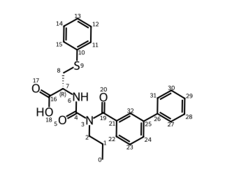 CCCN(C(=O)N[C@@H](CSc1ccccc1)C(=O)O)C(=O)c1cccc(-c2ccccc2)c1